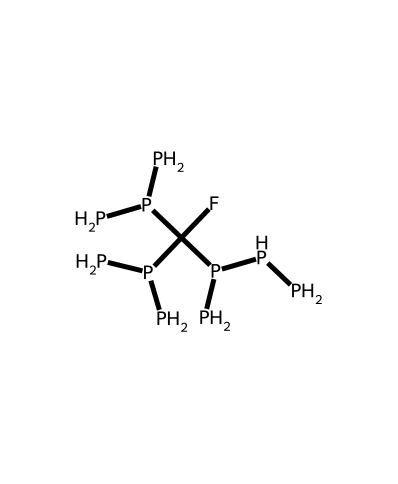 FC(P(P)P)(P(P)P)P(P)PP